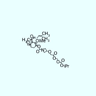 CO[C@@H]1[C@H](OC(=O)N2CC(OCC(=O)OCOC(=O)OC(C)C)C2)CC[C@]2(CO2)[C@H]1[C@@]1(C)O[C@@H]1CC=C(C)C